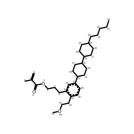 C=C(C)C(=O)OCCCc1cc(C2CCC(C3CCC(CCCCC)CC3)CC2)ccc1CCOC